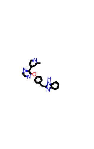 Cc1cc(-c2nccnc2Oc2ccc([C]c3nc4ccccc4[nH]3)cc2)ccn1